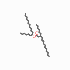 CCCCCCCCC=CCC(CCCCCC)CC(=O)OC(CC=CCCCCCCCC)CCCCCC